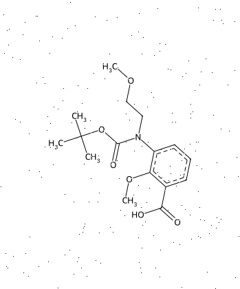 COCCN(C(=O)OC(C)(C)C)c1cccc(C(=O)O)c1OC